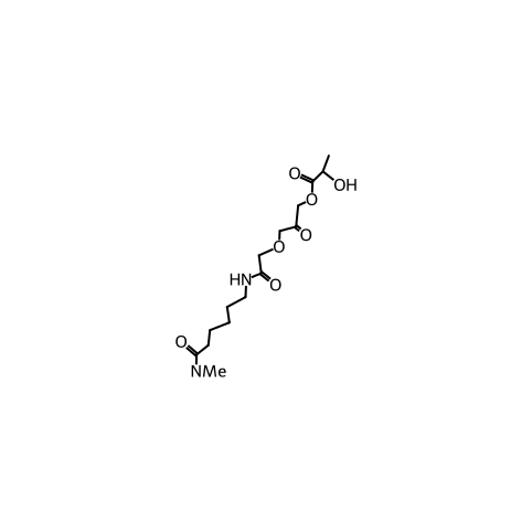 CNC(=O)CCCCCNC(=O)COCC(=O)COC(=O)C(C)O